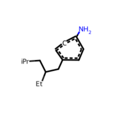 CCC(Cc1ccc(N)cc1)CC(C)C